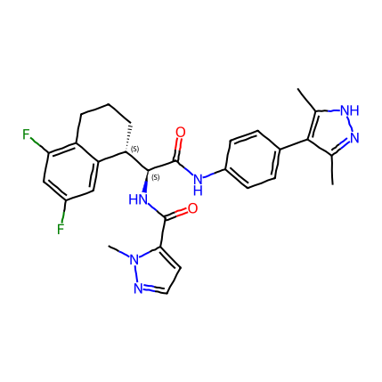 Cc1n[nH]c(C)c1-c1ccc(NC(=O)[C@@H](NC(=O)c2ccnn2C)[C@H]2CCCc3c(F)cc(F)cc32)cc1